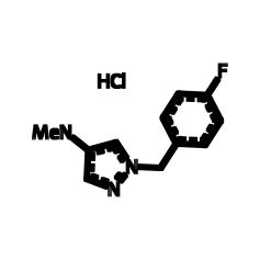 CNc1cnn(Cc2ccc(F)cc2)c1.Cl